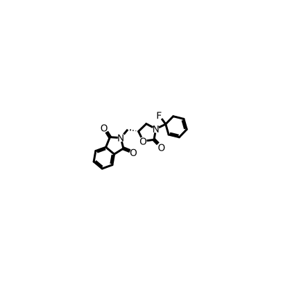 O=C1c2ccccc2C(=O)N1C[C@@H]1CN(C2(F)C=CC=CC2)C(=O)O1